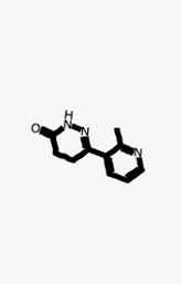 Cc1ncccc1C1=NNC(=O)CC1